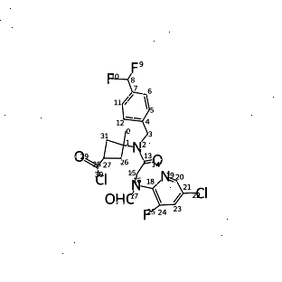 CC1(N(Cc2ccc(C(F)F)cc2)C(=O)CN(C=O)c2ncc(Cl)cc2F)CC(C(=O)Cl)C1